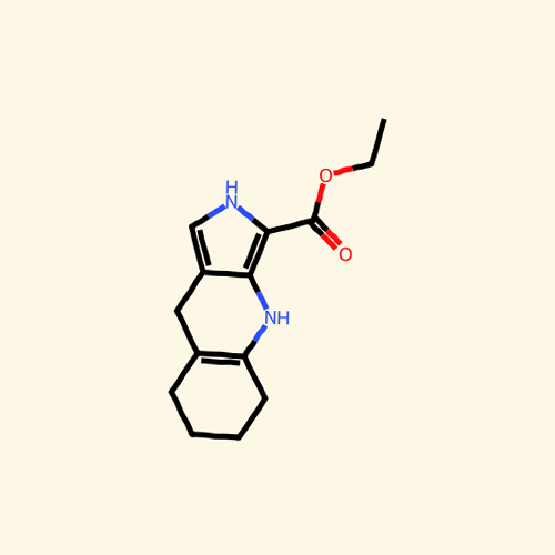 CCOC(=O)c1[nH]cc2c1NC1=C(CCCC1)C2